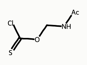 CC(=O)NCOC(=S)Cl